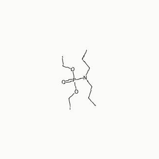 CCCN(CCC)P(=O)(OCC)OCC